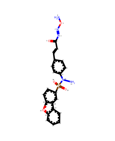 NON=NC(=O)/C=C/c1ccc(N(N)S(=O)(=O)c2ccc3oc4ccccc4c3c2)cc1